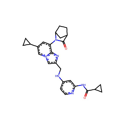 O=C(Nc1cc(NCc2cn3cc(C4CC4)cc(N4C(=O)C5CCC4C5)c3n2)ccn1)C1CC1